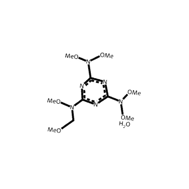 COCN(OC)c1nc(N(OC)OC)nc(N(OC)OC)n1.O